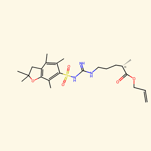 C=CCOC(=O)[C@@H](C)CCCNC(=N)NS(=O)(=O)c1c(C)c(C)c2c(c1C)OC(C)(C)C2